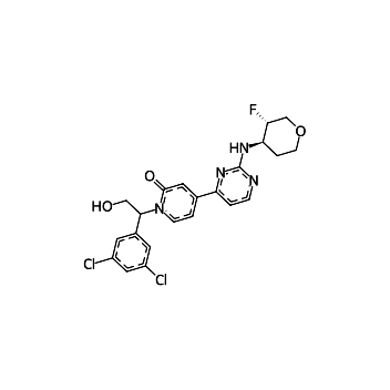 O=c1cc(-c2ccnc(N[C@@H]3CCOC[C@H]3F)n2)ccn1C(CO)c1cc(Cl)cc(Cl)c1